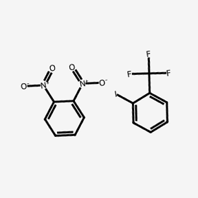 FC(F)(F)c1ccccc1I.O=[N+]([O-])c1ccccc1[N+](=O)[O-]